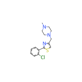 CN1CCN(Cc2csc(-c3ccccc3Cl)n2)CC1